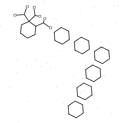 C1CCCCC1.C1CCCCC1.C1CCCCC1.C1CCCCC1.C1CCCCC1.C1CCCCC1.ClC(Cl)C1CCCCC1(C(Cl)Cl)C(Cl)Cl